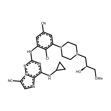 COC[C@@H](O)CN1CCN(c2cc(C#N)cc(Nc3nc(NC4CC4)c4ncc(C#N)n4n3)c2Cl)CC1